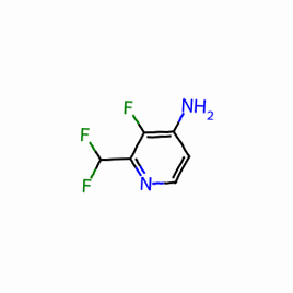 Nc1ccnc(C(F)F)c1F